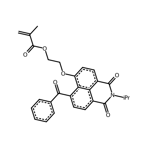 C=C(C)C(=O)OCCOc1ccc2c3c(ccc(C(=O)c4ccccc4)c13)C(=O)N(C(C)C)C2=O